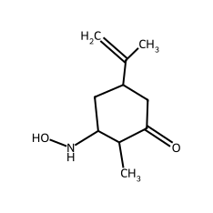 C=C(C)C1CC(=O)C(C)C(NO)C1